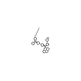 CCCCCCCCc1ccc(N(c2ccccc2)c2ccc(-c3ccc(N(c4cccc(-c5ccc6c(c5)CC6)c4)c4cc5cccc6ccc7cccc4c7c65)cc3)cc2)cc1